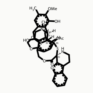 COc1c(C)cc2c(c1O)[C@H]1[C@@H]3[C@@H]4S[C@]5(NCCc6c5oc5ccccc65)C(=O)OCC(c5c6c(c(C)c(OC(C)=O)c54)OCO6)N3C(O)(C2)CN1C